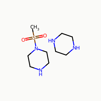 C1CNCCN1.CS(=O)(=O)N1CCNCC1